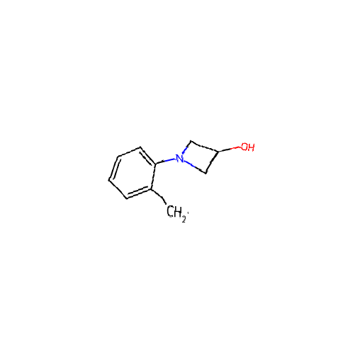 [CH2]c1ccccc1N1CC(O)C1